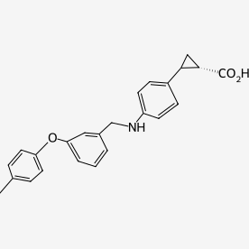 Cc1ccc(Oc2cccc(CNc3ccc(C4C[C@@H]4C(=O)O)cc3)c2)cc1